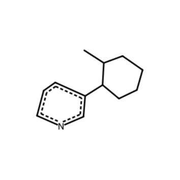 CC1CCCCC1c1cccnc1